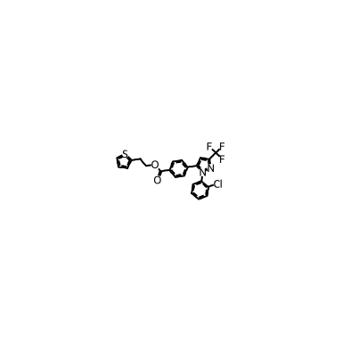 O=C(OCCc1cccs1)c1ccc(-c2cc(C(F)(F)F)nn2-c2ccccc2Cl)cc1